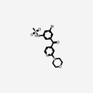 CS(=O)(=O)Nc1cc(Br)cc(C(=O)c2ccnc(N3CCOCC3)c2)c1